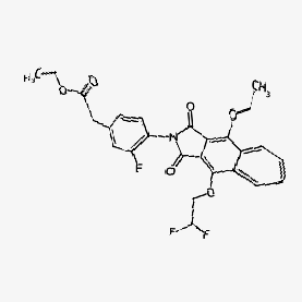 CCOC(=O)Cc1ccc(N2C(=O)c3c(c(OCC(F)F)c4ccccc4c3OCC)C2=O)c(F)c1